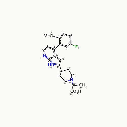 COc1ccc(F)cc1-c1ccnc2[nH]c(C3CCN(C(C)C(=O)O)CC3)cc12